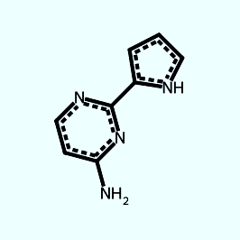 Nc1ccnc(-c2ccc[nH]2)n1